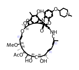 CO[C@H]1/C=C/O[C@@]2(C)Oc3c(C)c(O)c4c(=O)c(c5oc6cc(OC7CCN(C)CC7)ccc6nc-5c4c3C2=O)NC/C(C)=C\C=C\[C@H](C)[C@H](O)C[C@@H](O)[C@@H](C)[C@H](OC(C)=O)[C@@H]1C